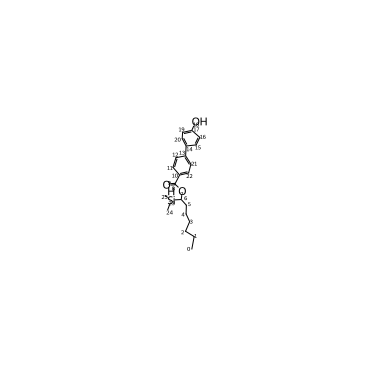 CCCCCCC(OC(=O)c1ccc(-c2ccc(O)cc2)cc1)[SiH](C)C